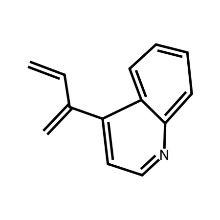 C=CC(=C)c1ccnc2ccccc12